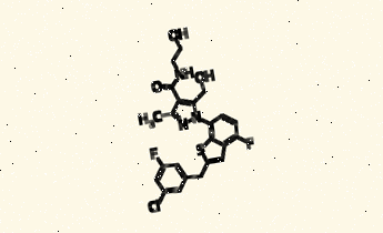 Cc1nn(-c2ccc(F)c3cc(Cc4cc(F)cc(Cl)c4)sc23)c(CO)c1C(=O)NCCO